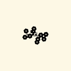 CC1(C)c2ccccc2-c2nc(-n3c4cc5ccccc5cc4c4c5c6ccccc6c6ccccc6c5ccc43)nc(-c3ccc4c5ccccc5n(-c5ccccc5)c4c3)c21